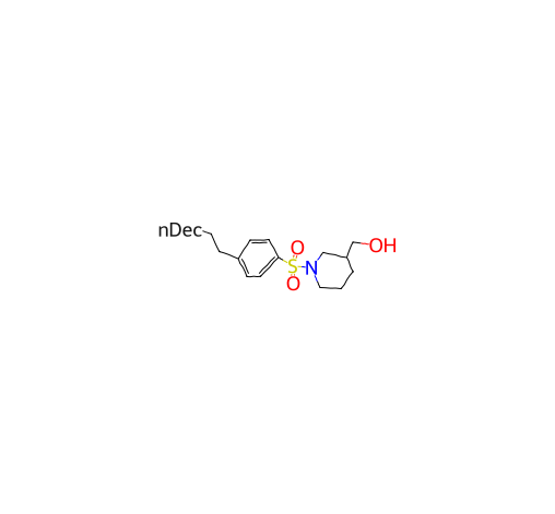 CCCCCCCCCCCCc1ccc(S(=O)(=O)N2CCCC(CO)C2)cc1